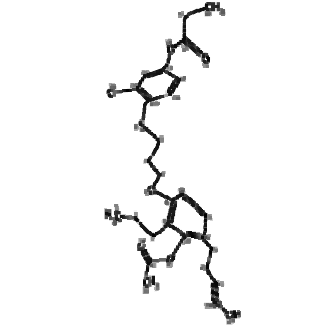 CCCc1c(OCCCSc2ccc(OC(=O)CC)cc2Cl)ccc(CCC=NO)c1OC(C)=O